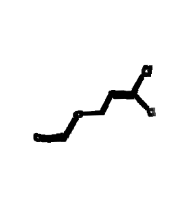 O=COCC=C(Cl)Cl